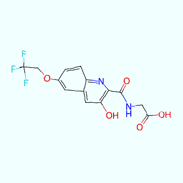 O=C(O)CNC(=O)c1nc2ccc(OCC(F)(F)F)cc2cc1O